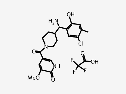 COc1cc(C(=O)N2CCC([C@@H](N)c3cc(Cl)c(C)cc3O)CC2)c[nH]c1=O.O=C(O)C(F)(F)F